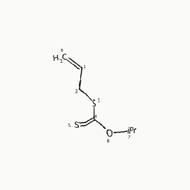 C=CCSC(=S)OC(C)C